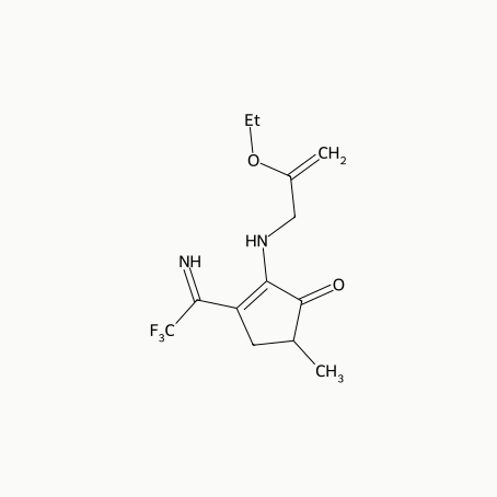 C=C(CNC1=C(C(=N)C(F)(F)F)CC(C)C1=O)OCC